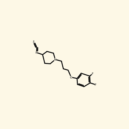 Fc1ccc(OCCCN2CCC(N=C=S)CC2)cc1F